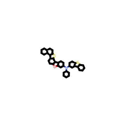 c1ccc(N(c2ccc3c(c2)oc2ccc4c(sc5ccc6ccccc6c54)c23)c2ccc3sc4ccccc4c3c2)cc1